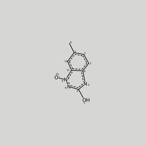 Cc1ccc2nc(O)n[n+]([O-])c2c1